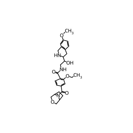 CCOc1cc(C(=O)N2C3CCC2COC3)ccc1C(=O)NCC(O)C1Cc2ccc(OC)cc2CN1